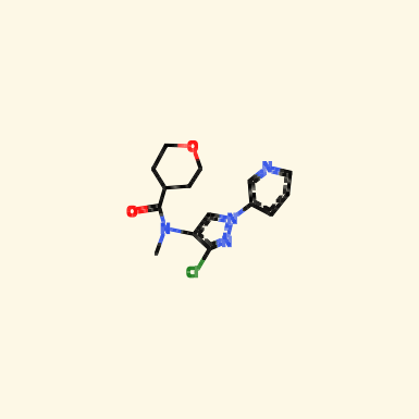 CN(C(=O)C1CCOCC1)c1cn(-c2cccnc2)nc1Cl